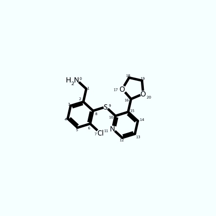 NCc1cccc(Cl)c1Sc1ncccc1C1OCCO1